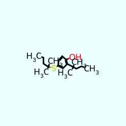 CCCC(C)(C)Sc1ccc(O)c(C(C)(C)CCC)c1